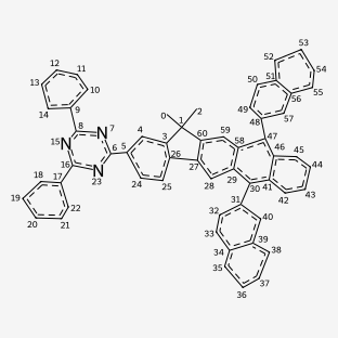 CC1(C)c2cc(-c3nc(-c4ccccc4)nc(-c4ccccc4)n3)ccc2-c2cc3c(-c4ccc5ccccc5c4)c4ccccc4c(-c4ccc5ccccc5c4)c3cc21